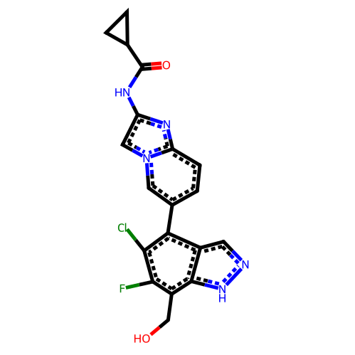 O=C(Nc1cn2cc(-c3c(Cl)c(F)c(CO)c4[nH]ncc34)ccc2n1)C1CC1